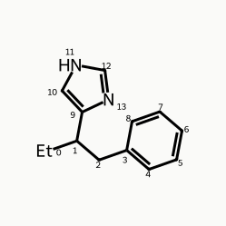 CCC(Cc1ccccc1)c1c[nH]cn1